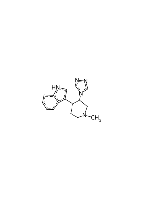 CN1CCC(c2c[nH]c3ccccc23)C(n2cnnc2)C1